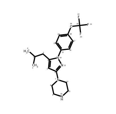 CC(C)Cc1cc(N2CCNCC2)nn1-c1ccc(OC(F)(F)F)cc1